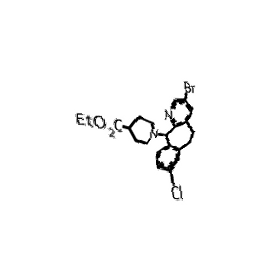 CCOC(=O)C1CCN(C2c3ccc(Cl)cc3CCc3cc(Br)cnc32)CC1